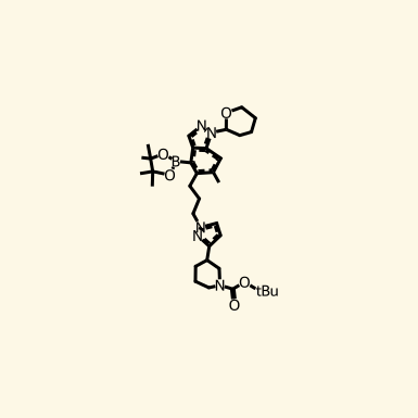 Cc1cc2c(cnn2C2CCCCO2)c(B2OC(C)(C)C(C)(C)O2)c1CCCn1ccc(C2CCCN(C(=O)OC(C)(C)C)C2)n1